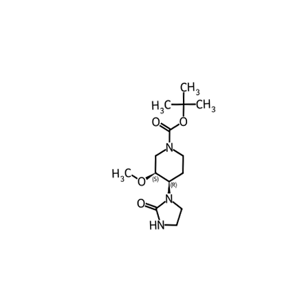 CO[C@H]1CN(C(=O)OC(C)(C)C)CC[C@H]1N1CCNC1=O